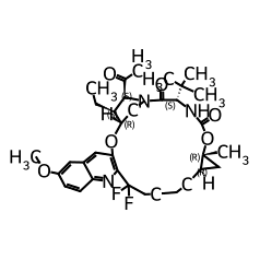 CC[C@@H]1[C@@H]2CN(C(=O)[C@H](C(C)(C)C)NC(=O)O[C@]3(C)C[C@H]3CCCCC(F)(F)c3nc4ccc(OC)cc4cc3O2)[C@@H]1C(C)=O